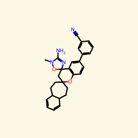 CN1OC2(CC3(CCC4C=CC=CC4CC3)Oc3ccc(-c4cccc(C#N)c4)cc32)N=C1N